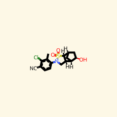 Cc1c(N2C[C@H]3[C@@H]4C[C@@H](C[C@H]4O)[C@H]3S2(=O)=O)ccc(C#N)c1Cl